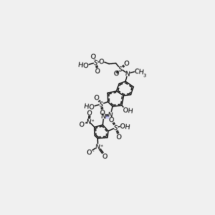 CN(c1ccc2c(O)c(/N=N/c3c([N+](=O)[O-])cc([N+](=O)[O-])cc3S(=O)(=O)O)c(S(=O)(=O)O)cc2c1)S(=O)(=O)CCOS(=O)(=O)O